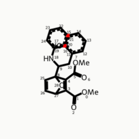 COC(=O)C1=C(C(=O)OC)C2(C(Cc3ccccc3C#N)Nc3ccccc3)C=CC1O2